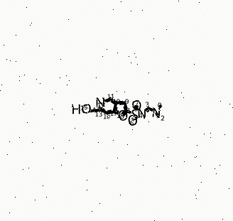 CN(C)C=NS(=O)(=O)c1cc2cnc(CO)cc2o1